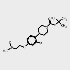 C[S+]([O-])CCOc1ccc(C2CCN(C(=O)OC(C)(C)C)CC2)c(F)c1